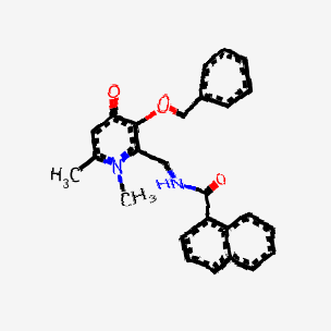 Cc1cc(=O)c(OCc2ccccc2)c(CNC(=O)c2cccc3ccccc23)n1C